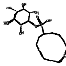 O=P(O)(O[C@@H]1[C@@H](O)[C@H](O)[C@@H](O)[C@H](O)[C@@H]1O)C1CCCCCCCCCCC1